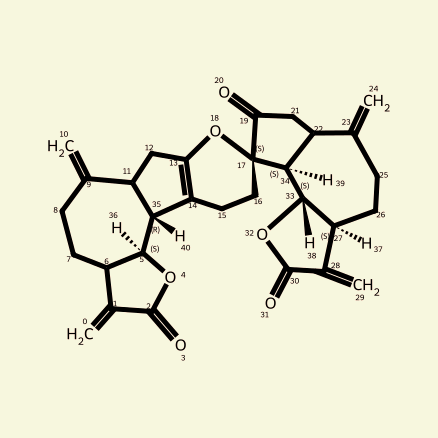 C=C1C(=O)O[C@H]2C1CCC(=C)C1CC3=C(CC[C@@]4(O3)C(=O)CC3C(=C)CC[C@H]5C(=C)C(=O)O[C@@H]5[C@H]34)[C@@H]12